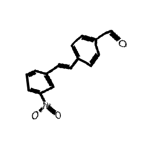 O=Cc1ccc(/C=C/c2cccc([N+](=O)[O-])c2)cc1